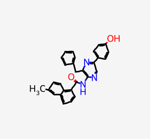 Cc1ccc2c(C(=O)Nc3ncc(-c4ccc(O)cc4)nc3Cc3ccccc3)cccc2c1